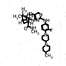 CNC(=O)[C@H]1C[C@H]2C[C@H](C2(C)C)[C@@]1(C)Nc1nc(Nc2ccc(N3CCC(N4CCC(C)CC4)CC3)c(F)c2)ncc1Cl